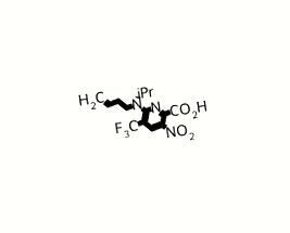 C=CCCN(c1nc(C(=O)O)c([N+](=O)[O-])cc1C(F)(F)F)C(C)C